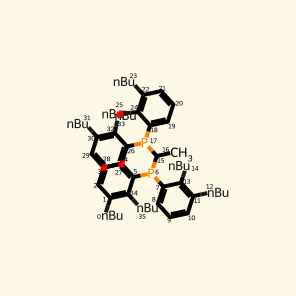 CCCCc1cccc(P(c2cccc(CCCC)c2CCCC)C(C)P(c2cccc(CCCC)c2CCCC)c2cccc(CCCC)c2CCCC)c1CCCC